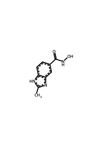 Cc1nc2cc(C(=O)NO)ccc2[nH]1